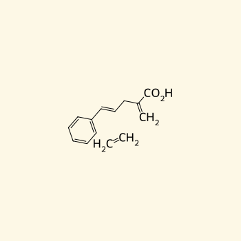 C=C.C=C(CC=Cc1ccccc1)C(=O)O